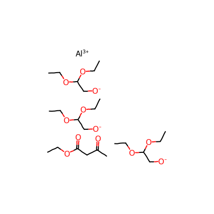 CCOC(=O)CC(C)=O.CCOC(C[O-])OCC.CCOC(C[O-])OCC.CCOC(C[O-])OCC.[Al+3]